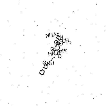 CCCN1C(=O)[C@H](CCCCNC(=O)OCc2ccccc2)NC(=O)C12CCN(S(=O)(=O)c1sc(NC(C)=O)nc1C)CC2